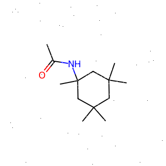 CC(=O)NC1(C)CC(C)(C)CC(C)(C)C1